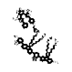 Cc1ccc2c(c1)C(CCCCCCN=[N+]=[N-])(CCCCCCN=[N+]=[N-])c1cc(-c3ccc(-c4ccc5c(c4)C(CCCCCCN=[N+]=[N-])(CCCCCCn4cc(COc6ccc(-c7cc(C8=C(c9cc(-c%10ccccc%10)sc9C)C(F)(F)C(F)(F)C8(F)F)c(C)s7)cc6)nn4)c4cc(-c6ccc(C)c7nonc67)ccc4-5)c4nonc34)ccc1-2